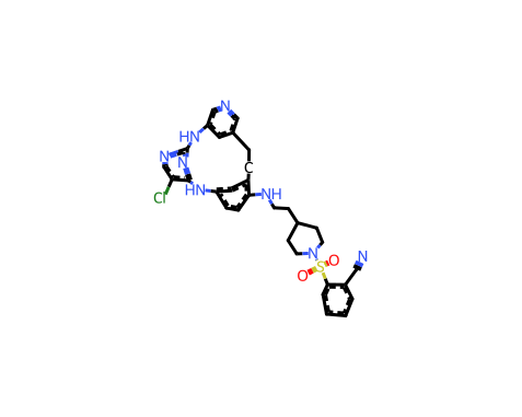 N#Cc1ccccc1S(=O)(=O)N1CCC(CCNc2ccc3cc2CCc2cncc(c2)Nc2ncc(Cl)c(n2)N3)CC1